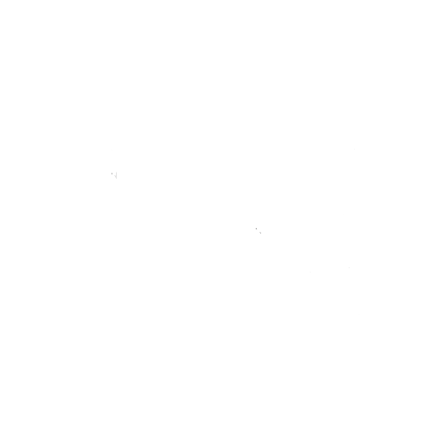 C1=CC2c3cc(-c4cccc5c4c4ccccc4n5-c4cc(-c5cccc(-c6ccccc6)c5)c5sc6ccccc6c5c4)ccc3N(c3ccccc3)C2C=C1